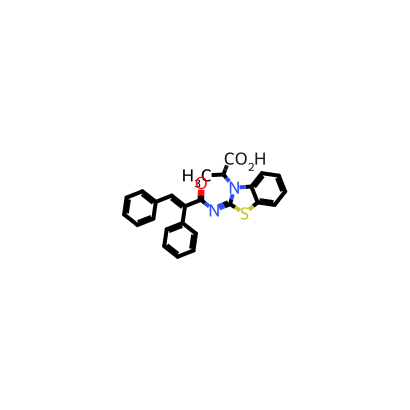 CC(C(=O)O)n1/c(=N\C(=O)/C(=C/c2ccccc2)c2ccccc2)sc2ccccc21